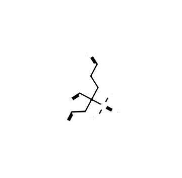 O=[C]CCC([C]=O)(C[C]=O)P(=O)(O)O